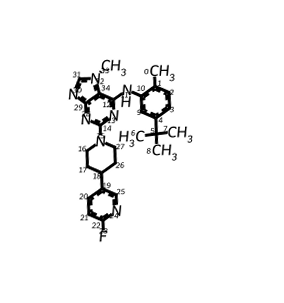 Cc1ccc(C(C)(C)C)cc1Nc1nc(N2CCC(c3ccc(F)nc3)CC2)nc2ncn(C)c12